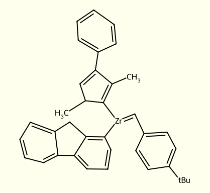 CC1=[C](/[Zr](=[CH]/c2ccc(C(C)(C)C)cc2)[c]2cccc3c2Cc2ccccc2-3)C(C)C=C1c1ccccc1